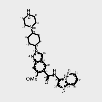 COc1cc2nn(C3CCC(N4CCNCC4)CC3)cc2cc1C(=O)Nc1cnc2cccnn12